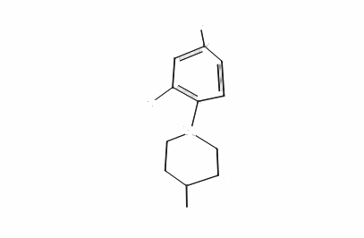 CC1CCN(c2ccc(Br)cc2N)CC1